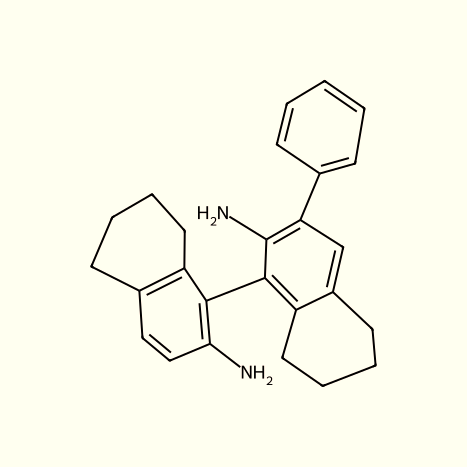 Nc1ccc2c(c1-c1c(N)c(-c3ccccc3)cc3c1CCCC3)CCCC2